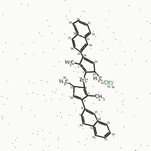 CC1=[C]([Zr+2][C]2=C(C)C(c3ccc4ccccc4c3)=CC2C)C(C)C=C1c1ccc2ccccc2c1.[Cl-].[Cl-]